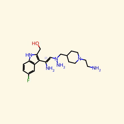 NCCN1CCC(CN(N)/C=C(\N)c2c(CO)[nH]c3ccc(F)cc23)CC1